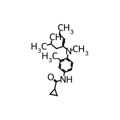 CC/C=C(\CC(C)C)N(C)c1ccc(NC(=O)C2CC2)cc1C